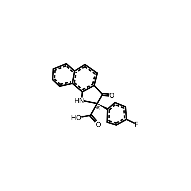 O=C(O)[C@]1(c2ccc(F)cc2)Nc2c(ccc3ccccc23)C1=O